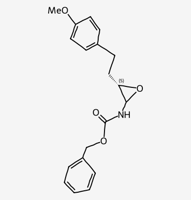 COc1ccc(CC[C@@H]2OC2NC(=O)OCc2ccccc2)cc1